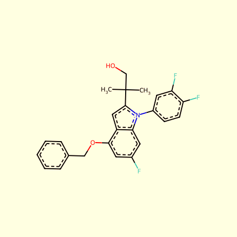 CC(C)(CO)c1cc2c(OCc3ccccc3)cc(F)cc2n1-c1ccc(F)c(F)c1